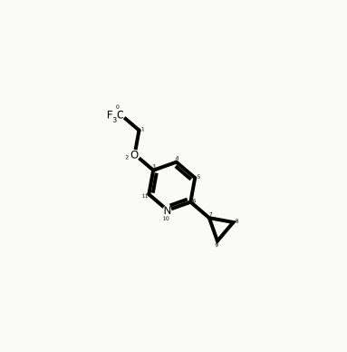 FC(F)(F)COc1ccc(C2CC2)nc1